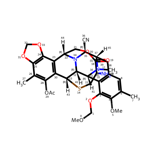 COCOc1c(OC)c(C)cc2c1[C@@H]1[C@@H]3[C@@H]4SC[C@H](N)C(=O)OC[C@@H](c5c6c(c(C)c(OC(C)=O)c54)OCO6)N3[C@@H](C#N)[C@H](C2)N1C